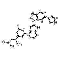 CN(C)CC(N)c1cc(F)cc(-c2cccc3[nH]c(-c4n[nH]c5ccc(-c6cn[nH]c6)nc45)cc23)c1